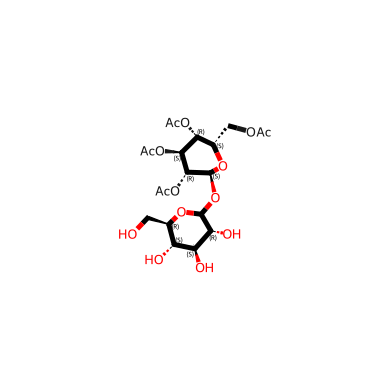 CC(=O)OC[C@@H]1O[C@@H](OC2O[C@H](CO)[C@@H](O)[C@H](O)[C@H]2O)[C@H](OC(C)=O)[C@@H](OC(C)=O)[C@@H]1OC(C)=O